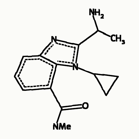 CNC(=O)c1cccc2nc(C(C)N)n(C3CC3)c12